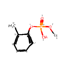 CCOP(=O)(O)Oc1ccccc1C